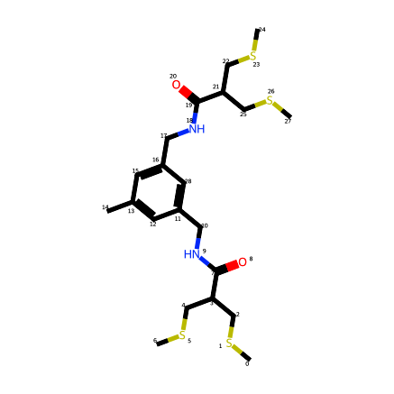 CSCC(CSC)C(=O)NCc1cc(C)cc(CNC(=O)C(CSC)CSC)c1